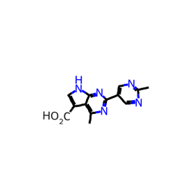 Cc1ncc(-c2nc(C)c3c(C(=O)O)c[nH]c3n2)cn1